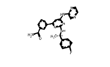 C[C@H](Nc1nc(Nc2cnccn2)cc(-c2cccc(C(N)=O)c2)n1)c1ccc(F)cc1